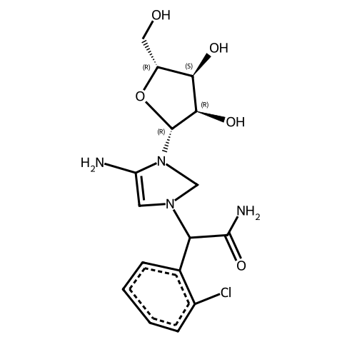 NC(=O)C(c1ccccc1Cl)N1C=C(N)N([C@@H]2O[C@H](CO)[C@@H](O)[C@H]2O)C1